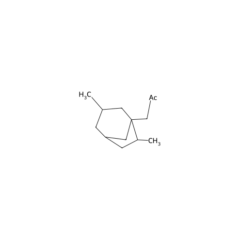 CC(=O)CC12CC(C)CC(CC1C)C2